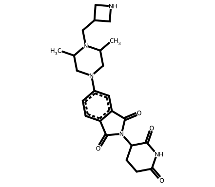 CC1CN(c2ccc3c(c2)C(=O)N(C2CCC(=O)NC2=O)C3=O)CC(C)N1CC1CNC1